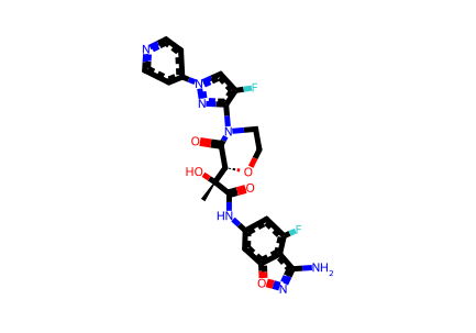 C[C@](O)(C(=O)Nc1cc(F)c2c(N)noc2c1)[C@H]1OCCN(c2nn(-c3ccncc3)cc2F)C1=O